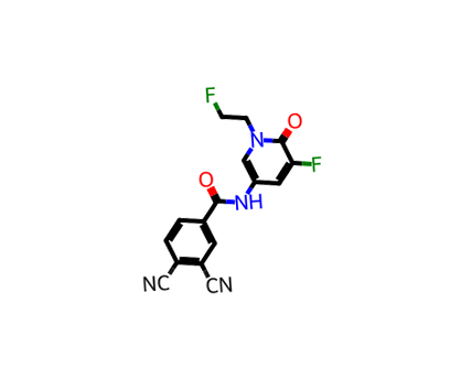 N#Cc1ccc(C(=O)Nc2cc(F)c(=O)n(CCF)c2)cc1C#N